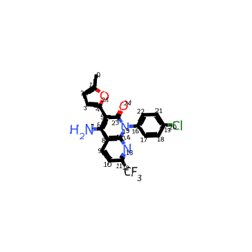 Cc1ccc(-c2c(N)c3ccc(C(F)(F)F)nc3n(-c3ccc(Cl)cc3)c2=O)o1